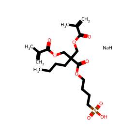 C=C(C)C(=O)OCC(CCCC)(COC(=O)C(=C)C)C(=O)OCCCCS(=O)(=O)O.[NaH]